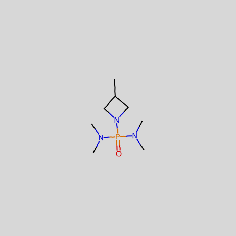 CC1CN(P(=O)(N(C)C)N(C)C)C1